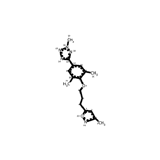 Cc1cc(CCCOc2c(C)cc(-c3nnn(C)n3)cc2C)on1